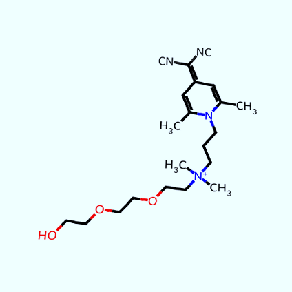 [C-]#[N+]C([N+]#[C-])=C1C=C(C)N(CCC[N+](C)(C)CCOCCOCCO)C(C)=C1